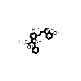 Cc1cccc2c(C(C)Cc3cccc4c(C(C)C)c(-c5ccccc5)[nH]c34)c[nH]c12